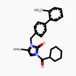 CCCCCCc1cn(C(=O)C2CCCCC2)c(=O)n1Cc1ccc(-c2ccccc2C(=O)O)cc1